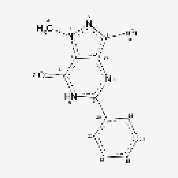 CCCc1nn(C)c2c(=O)[nH]c(-c3ccccc3)nc12